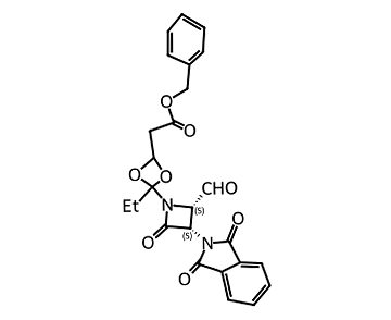 CCC1(N2C(=O)[C@@H](N3C(=O)c4ccccc4C3=O)[C@H]2C=O)OC(CC(=O)OCc2ccccc2)O1